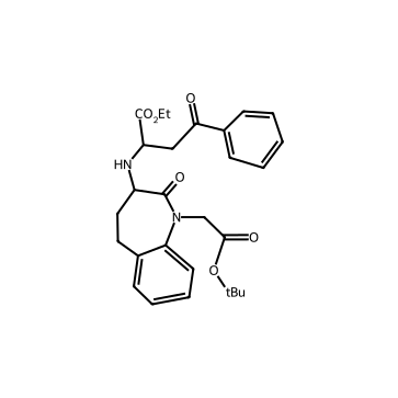 CCOC(=O)C(CC(=O)c1ccccc1)NC1CCc2ccccc2N(CC(=O)OC(C)(C)C)C1=O